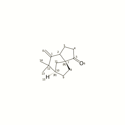 C=C1C2CCC(=O)[C@@]23CC[C@H](C3)C1(C)C